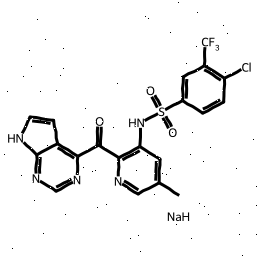 Cc1cnc(C(=O)c2ncnc3[nH]ccc23)c(NS(=O)(=O)c2ccc(Cl)c(C(F)(F)F)c2)c1.[NaH]